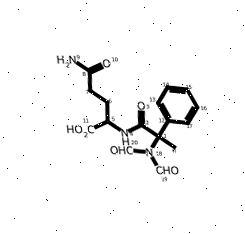 CC(C(=O)NC(CCC(N)=O)C(=O)O)(c1ccccc1)N(C=O)C=O